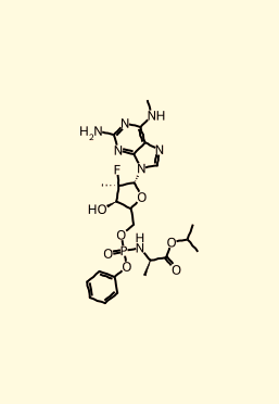 CNc1nc(N)nc2c1ncn2[C@@H]1OC(COP(=O)(N[C@H](C)C(=O)OC(C)C)Oc2ccccc2)[C@@H](O)[C@@]1(C)F